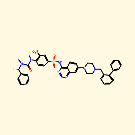 C[C@@H](c1ccccc1)N(C)C(=O)N(C)c1ccc(S(=O)(=O)Nc2ncnc3cc(N4CCN(Cc5ccccc5-c5ccccc5)CC4)ccc23)cc1[N+](=O)[O-]